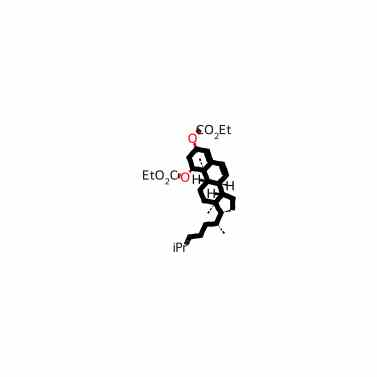 CCOC(=O)O[C@H]1C[C@@H](OC(=O)OCC)C=C2C=C[C@H]3[C@@H]4CC[C@H]([C@H](C)CCCC(C)C)[C@@]4(C)CC[C@@H]3[C@]21C